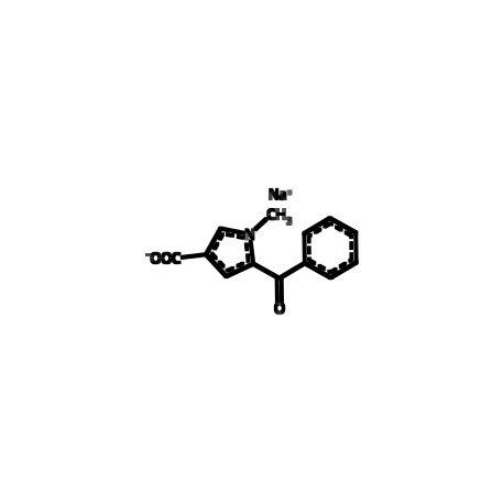 Cn1cc(C(=O)[O-])cc1C(=O)c1ccccc1.[Na+]